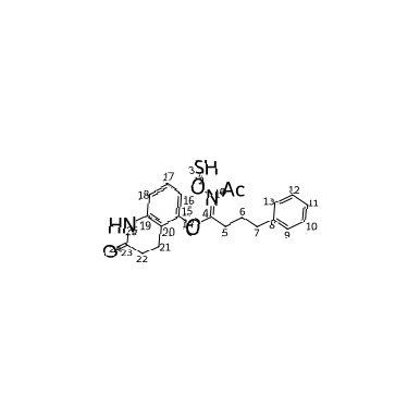 CC(=O)[N+](OS)=C(CCCc1ccccc1)Oc1cccc2c1CCC(=O)N2